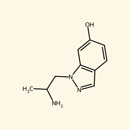 CC(N)Cn1ncc2ccc(O)cc21